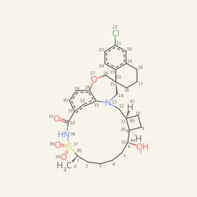 C[C@@H]1CCCC[C@H](O)[C@@H]2CC[C@H]2CN2C[C@@]3(CCCc4cc(Cl)ccc43)COc3ccc(cc32)C(=O)NS1(=O)=O